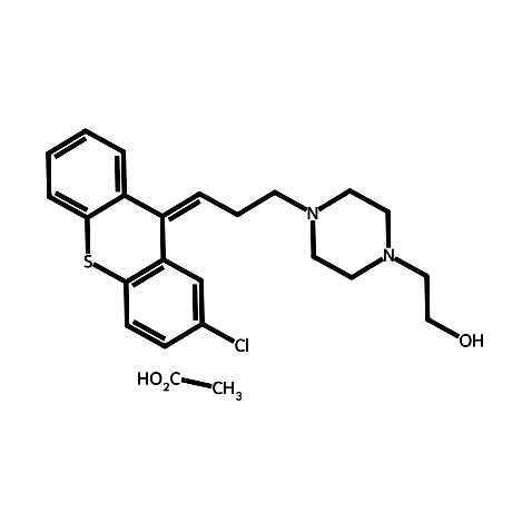 CC(=O)O.OCCN1CCN(CC/C=C2/c3ccccc3Sc3ccc(Cl)cc32)CC1